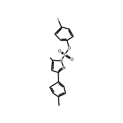 Cc1ccc(-c2cc(C)n(S(=O)(=O)Oc3ccc(I)cc3)n2)cc1